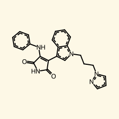 O=C1NC(=O)C(c2cn(CCCn3cccn3)c3ccccc23)=C1Nc1ccccc1